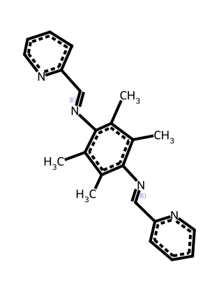 Cc1c(C)c(/N=C/c2ccccn2)c(C)c(C)c1/N=C/c1ccccn1